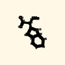 CSN(C([O])=O)c1nc2ccccc2o1